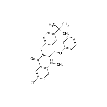 CNc1ccc(Cl)cc1C(=O)N(CCOc1ccccc1)Cc1ccc(C(C)(C)C)cc1